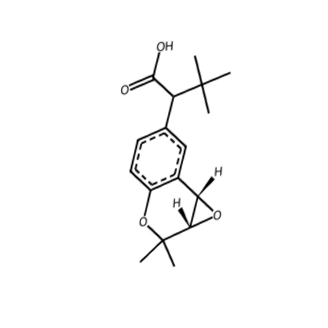 CC(C)(C)C(C(=O)O)c1ccc2c(c1)[C@@H]1O[C@@H]1C(C)(C)O2